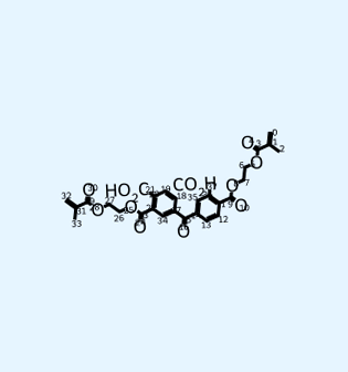 C=C(C)C(=O)OCCOC(=O)c1ccc(C(=O)c2ccc(C(=O)O)c(C(=O)OCCOC(=O)C(=C)C)c2)cc1C(=O)O